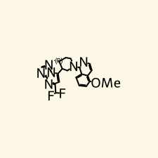 COc1cccc2c(N3CC[C@@H](C)C(c4cc(C(F)F)nc5ncnn45)C3)nccc12